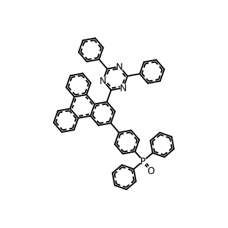 O=P(c1ccccc1)(c1ccccc1)c1ccc(-c2cc(-c3nc(-c4ccccc4)nc(-c4ccccc4)n3)c3c4ccccc4c4ccccc4c3c2)cc1